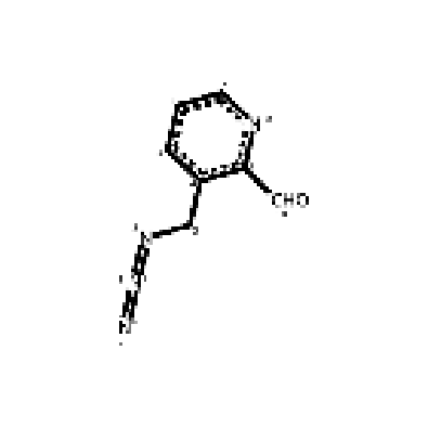 [N-]=[N+]=NCc1cccnc1C=O